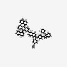 N#Cc1ccc(N(c2ccc(-c3nc4ccccc4n3-c3ccccc3)cc2)c2ccc3cc(-c4ccc5c(-c6cccc7ccccc67)c6ccccc6c(-c6cccc7ccccc67)c5c4)ccc3c2)cc1